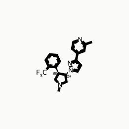 Cc1cc(-c2ccn([C@@H]3CN(C)C[C@H]3c3ccccc3C(F)(F)F)n2)ccn1